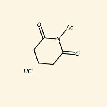 CC(=O)N1C(=O)CCCC1=O.Cl